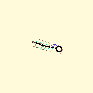 NC(F)(c1ccccc1)C(F)(F)C(F)(F)C(F)(F)C(F)(F)C(F)(F)C(F)(F)F